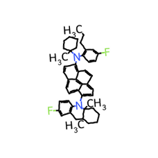 CCCc1cc(F)ccc1N(c1ccc2ccc3c(N4c5ccc(F)cc5CC5(C)CCCCC45C)ccc4ccc1c2c43)C1(C)CCCCC1